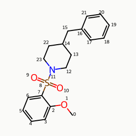 COc1ccccc1S(=O)(=O)N1CCC(Cc2ccccc2)CC1